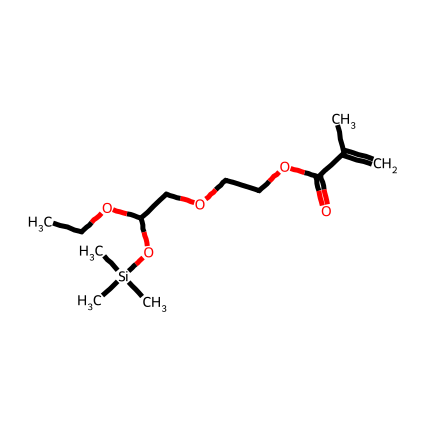 C=C(C)C(=O)OCCOCC(OCC)O[Si](C)(C)C